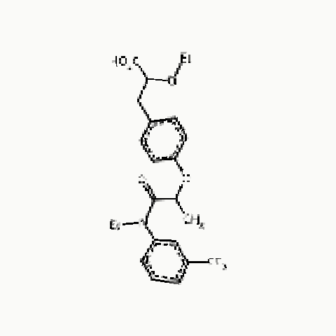 CCOC(Cc1ccc(OC(C)C(=O)N(CC)c2cccc(C(F)(F)F)c2)cc1)C(=O)O